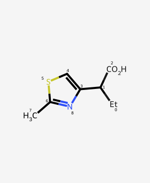 CCC(C(=O)O)c1csc(C)n1